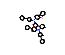 c1ccc(-c2ccc(N(c3cccc(-c4ccccc4N(c4ccc(-c5ccccc5)cc4)c4ccc(-c5ccccc5)cc4)c3)c3ccc4c(c3)oc3ccccc34)cc2)cc1